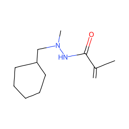 C=C(C)C(=O)NN(C)CC1CCCCC1